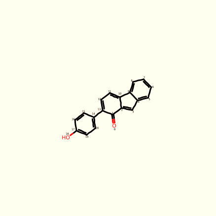 O=C1C2=Cc3ccccc3C2=CC=C1c1ccc(O)cc1